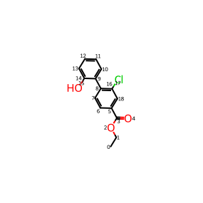 CCOC(=O)c1ccc(-c2ccccc2O)c(Cl)c1